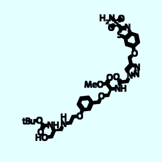 COC(=O)[C@H](COCc1cccc(OCCNC[C@@H](CO)NC(=O)OC(C)(C)C)c1)NC(=O)Cn1cc(COc2ccc3nc(S(N)(=O)=O)sc3c2)nn1